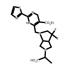 CCOC(=O)C1=C(CN2CC(F)(F)C3CN(C(C)C(=O)O)CC32)NC(c2nccs2)=NC1